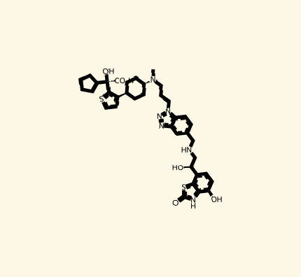 CN(CCCn1nnc2cc(CNC[C@H](O)c3ccc(O)c4[nH]c(=O)sc34)ccc21)[C@H]1CC[C@H](c2ccsc2[C@@](O)(C(=O)O)C2CCCC2)CC1